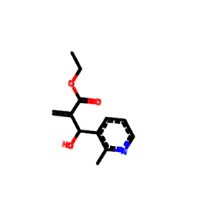 C=C(C(=O)OCC)C(O)c1cccnc1C